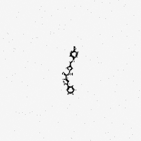 O=C(NC1CC(COc2ccc(F)cc2)C1)c1cc(-c2ccccc2)no1